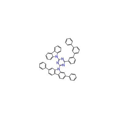 c1ccc(-c2cccc(-c3cccc(-c4nc(-n5c6ccccc6c6ccccc65)nc(-n5c6cc(-c7ccccc7)ccc6c6ccc(-c7ccccc7)cc65)n4)c3)c2)cc1